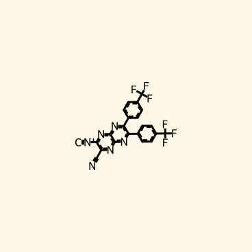 [C-]#[N+]c1nc2nc(-c3ccc(C(F)(F)F)cc3)c(-c3ccc(C(F)(F)F)cc3)nc2nc1C#N